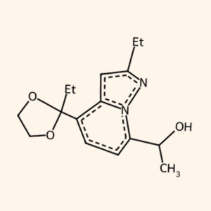 CCc1cc2c(C3(CC)OCCO3)ccc(C(C)O)n2n1